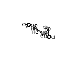 CC(C)(C)OC(=O)CN1C[C@@H](C(=O)NCC[C@@H](O)CNC(=O)COc2ccc(Cl)c(F)c2)Oc2ccc(Cl)cc21